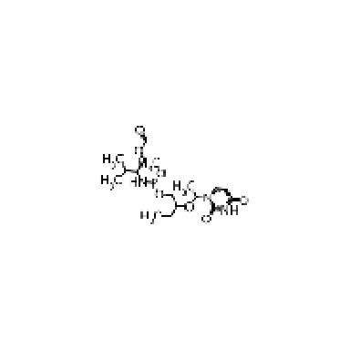 CCC(COP(NC(COC=O)C(C)C)OC)OC(C)n1ccc(=O)[nH]c1=O